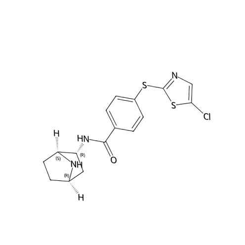 O=C(N[C@@H]1C[C@H]2CC[C@@H]1N2)c1ccc(Sc2ncc(Cl)s2)cc1